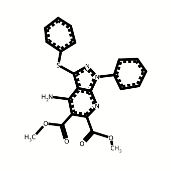 COC(=O)c1nc2c(c(Sc3ccccc3)nn2-c2ccccc2)c(N)c1C(=O)OC